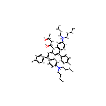 CCCCN(CCCC)c1ccc(/C(=C\C(/C=C(/c2ccc(C)cc2)c2ccc(N(CCCC)CCCC)cc2)CC(=O)CC(C)=O)c2ccc(C)cc2)cc1